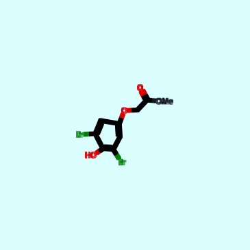 COC(=O)COc1cc(Br)c(O)c(Br)c1